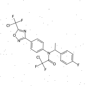 CC(c1ccc(F)cc1)N(C(=O)C(F)(F)Cl)c1ccc(-c2noc(C(F)(F)Cl)n2)cc1